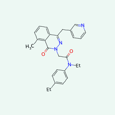 CCc1ccc(N(CC)C(=O)Cn2nc(Cc3cccnc3)c3cccc(C)c3c2=O)cc1